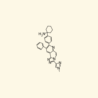 Cn1cnc(-c2nnc3c4cc(-c5ccccc5)c(-c5ccc(C6(N)CCCCC6)cc5)nc4ccn23)c1